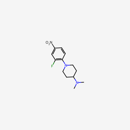 CN(C)C1CCN(c2ccc([N+](=O)[O-])cc2F)CC1